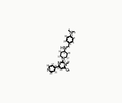 CN(C)c1ccc(CNC2CCN(c3nc(-c4ccncc4)cc(=O)n3C)CC2)cc1